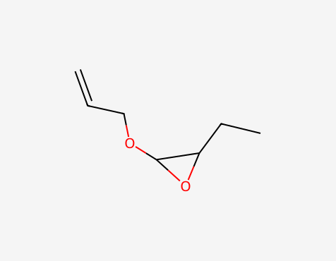 C=CCOC1OC1CC